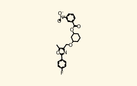 Cc1oc(-c2ccc(F)cc2)nc1COC1CCCC(OC(=O)c2cccc([N+](=O)[O-])c2)C1